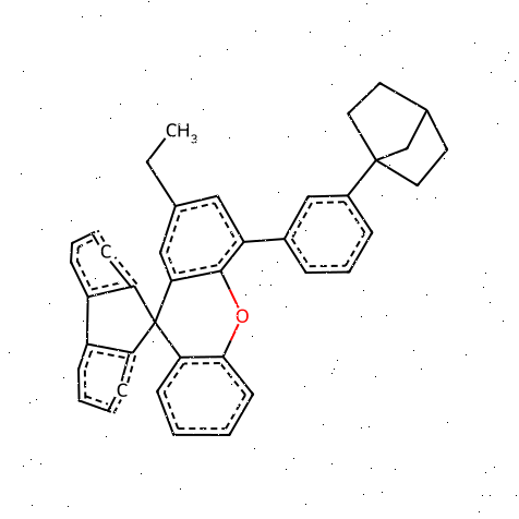 CCc1cc(-c2cccc(C34CCC(CC3)C4)c2)c2c(c1)C1(c3ccccc3O2)c2ccccc2-c2ccccc21